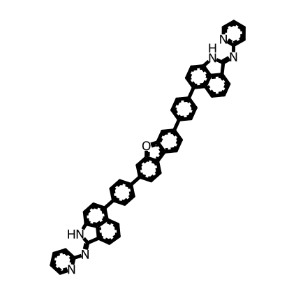 c1ccc(/N=C2\Nc3ccc(-c4ccc(-c5ccc6c(c5)oc5cc(-c7ccc(-c8ccc9c%10c(cccc8%10)/C(=N/c8ccccn8)N9)cc7)ccc56)cc4)c4cccc2c34)nc1